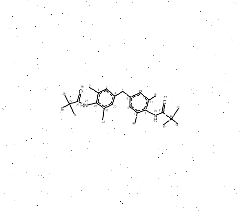 Cc1cc(Cc2cc(C)c(NC(=O)C(C)(C)C)c(C)c2)cc(C)c1NC(=O)C(C)(C)C